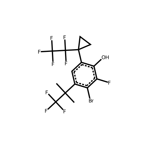 CC(C)(c1cc(C2(C(F)(F)C(F)(F)F)CC2)c(O)c(F)c1Br)C(F)(F)F